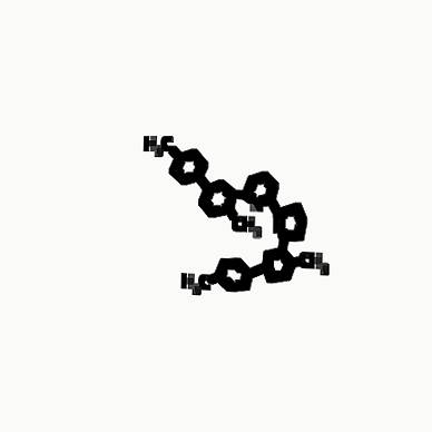 Cc1ccc(-c2ccc(C)c(-c3cccc(-c4cccc(-c5cc(-c6ccc(C)cc6)ccc5C)n4)n3)c2)cc1